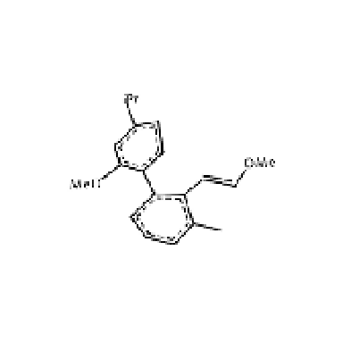 COC=Cc1c(C)cccc1-c1ccc(C(C)C)cc1OC